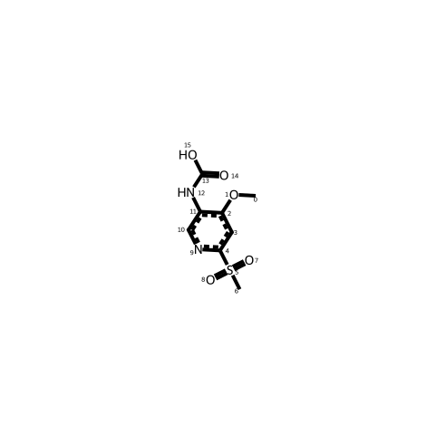 COc1cc(S(C)(=O)=O)ncc1NC(=O)O